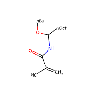 C=C(C#N)C(=O)NC(CCCCCCCC)OCCCC